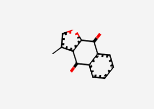 CCc1coc2c1C(=O)c1ccccc1C2=O